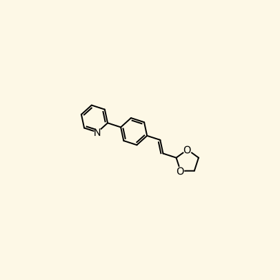 C(=C\C1OCCO1)/c1ccc(-c2ccccn2)cc1